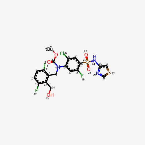 CC(C)(C)OC(=O)N(Cc1c(F)ccc(F)c1CO)c1cc(F)c(S(=O)(=O)Nc2cscn2)cc1Cl